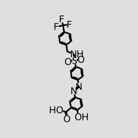 O=C(O)c1cc(N=Nc2ccc(S(=O)(=O)NCc3ccc(C(F)(F)F)cc3)cc2)ccc1O